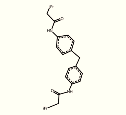 CC(C)CC(=O)Nc1ccc(Cc2ccc(NC(=O)CC(C)C)cc2)cc1